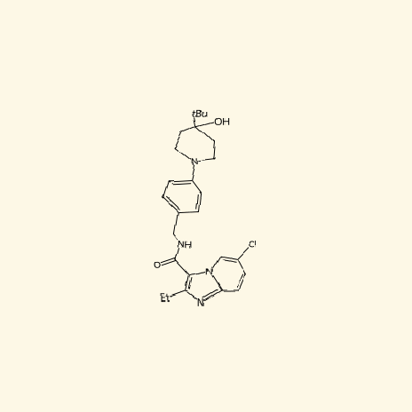 CCc1nc2ccc(Cl)cn2c1C(=O)NCc1ccc(N2CCC(O)(C(C)(C)C)CC2)cc1